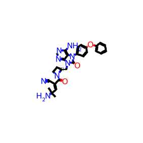 CC(C)(N)C=C(C#N)C(=O)N1CC[C@H]1Cn1c(=O)n(-c2ccc(Oc3ccccc3)cc2)c2c(N)ncnc21